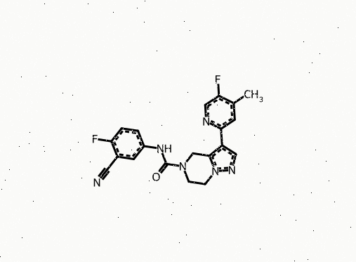 Cc1cc(-c2cnn3c2CN(C(=O)Nc2ccc(F)c(C#N)c2)CC3)ncc1F